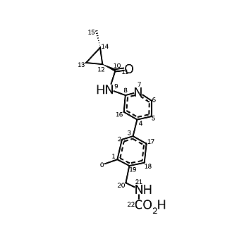 Cc1cc(-c2ccnc(NC(=O)[C@H]3C[C@@H]3C)c2)ccc1CNC(=O)O